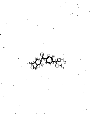 CC(C)c1ccc(C(=O)N2CC3COCC3C2)cc1